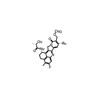 CC[C@@H](C)c1cc2n(c(=O)c1COC=O)Cc1c-2nc2cc(F)c(C)c3c2c1[C@@H](NC(=O)[C@H](C)O)CC3